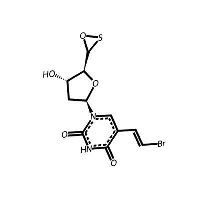 O=c1[nH]c(=O)n([C@H]2C[C@H](O)[C@@H](C3OS3)O2)cc1/C=C/Br